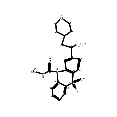 CCOC(=O)C(CC1CCOCC1)c1ccc2c(c1)N(C(=O)OC(C)(C)C)c1ccccc1S2(=O)=O